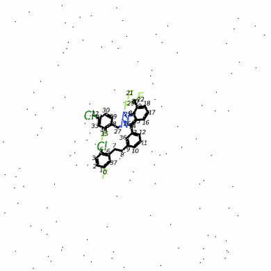 Fc1ccc(Cl)c(CCc2cccc(-c3c4cccc(C(F)(F)F)c4nn3Cc3ccc(Cl)cc3F)c2)c1